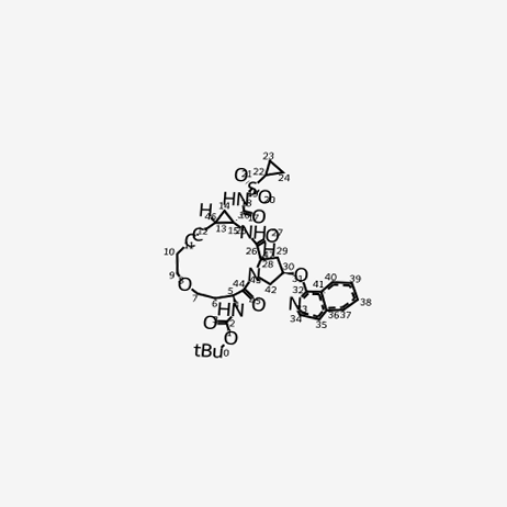 CC(C)(C)OC(=O)N[C@H]1CCOCCCC[C@@H]2C[C@@]2(C(=O)NS(=O)(=O)C2CC2)NC(=O)[C@@H]2C[C@@H](Oc3nccc4ccccc34)CN2C1=O